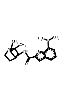 CN(C)c1cccc2cc(C(=O)NC3C4CCN(CC4)C3(C)C)sc12